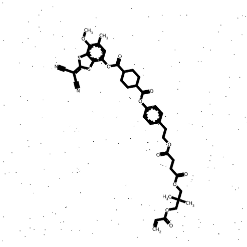 C=CC(=O)OCC(C)(C)COC(=O)CCC(=O)OCCc1ccc(OC(=O)C2CCC(C(=O)Oc3cc(C)c(OC)c4c3SC(=C(C#N)C#N)S4)CC2)cc1